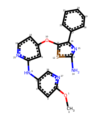 COc1ccc(Nc2cc(Oc3sc(N)nc3-c3ccccc3)ccn2)cn1